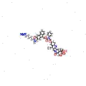 CCc1c2c(nc3ccc(OCN(C(=O)OCC4c5ccccc5-c5ccc(CN(C)C(=O)CCCCCN=[N+]=[N-])cc54)c4ccccc4)cc13)-c1cc3c(c(=O)n1C2)COC(=O)[C@]3(O)CC